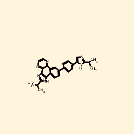 CC(C)c1ncc(-c2ccc(-c3ccc4c(c3)c3nccnc3c3nc(C(C)C)[nH]c43)cc2)[nH]1